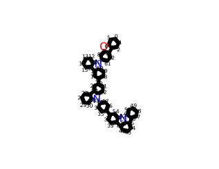 c1ccc2c(c1)oc1cc(-n3c4ccccc4c4cc(-c5ccc6c(c5)c5ccccc5n6-c5ccc(-c6ccc7c8cccc9c%10ccccc%10n(c7c6)c98)cc5)ccc43)ccc12